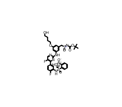 CC(C)(C)OC(=O)/N=[SH](=O)/Cc1cc(Nc2ncc(F)c(-c3ccc(F)c(NS(=O)(=O)c4ccccc4[NH+]([O-])O)c3)n2)cc(OCCCCO)c1